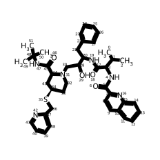 CC(C)C(NC(=O)c1ccc2ccccc2n1)C(=O)NC(Cc1ccccc1)C(O)CN1CC[C@@H](SCc2ccccn2)CC1C(=O)NC(C)(C)C